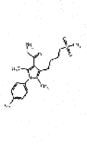 Cc1c(CCCCS(C)(=O)=O)c(C(=O)CN)c(C)n1-c1ccc(C#N)cc1